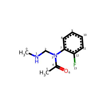 CNCN(C(C)=O)c1ccccc1F